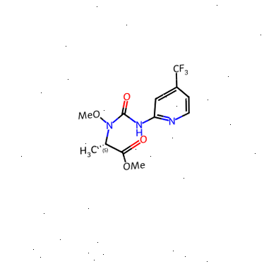 COC(=O)[C@H](C)N(OC)C(=O)Nc1cc(C(F)(F)F)ccn1